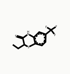 CCC1Sc2ccc(C(F)(F)F)cc2NC1=S